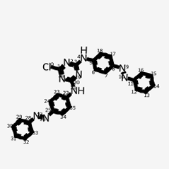 Clc1nc(Nc2ccc(N=Nc3ccccc3)cc2)nc(Nc2ccc(N=Nc3ccccc3)cc2)n1